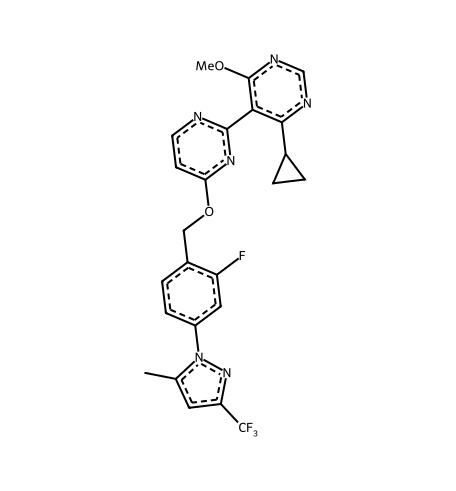 COc1ncnc(C2CC2)c1-c1nccc(OCc2ccc(-n3nc(C(F)(F)F)cc3C)cc2F)n1